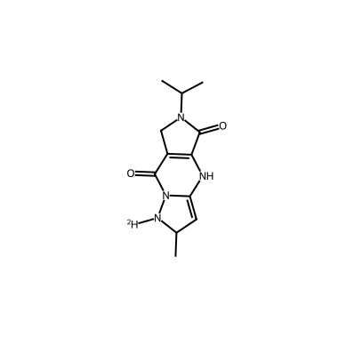 [2H]N1C(C)C=C2NC3=C(CN(C(C)C)C3=O)C(=O)N21